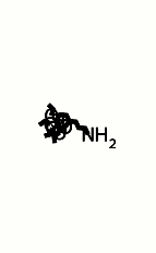 CCO[Si]1(OCC)CCC(CCCN)O[Si]1(OCC)OCC